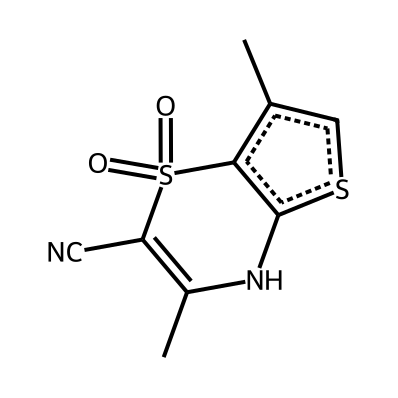 CC1=C(C#N)S(=O)(=O)c2c(C)csc2N1